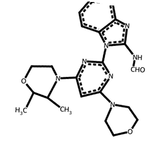 CC1OCCN(c2cc(N3CCOCC3)nc(-n3c(NC=O)nc4ccccc43)n2)C1C